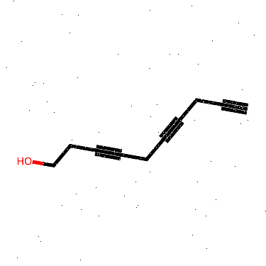 C#CCC#CCC#CCCO